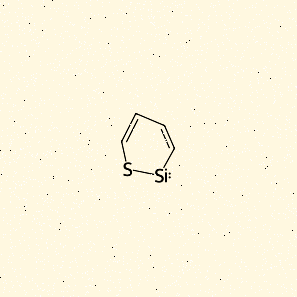 C1=C[Si]SC=C1